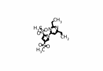 C=Cc1cc(-n2cc(S(C)(=O)=O)cc2S(C)(=O)=O)nc(CC)n1